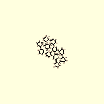 c1ccc(-c2ccccc2-c2cc(-c3cccc(-c4cc(-c5ccccc5-c5ccccc5)nc(-c5ccccc5-c5ccccc5)c4)c3)cc(-c3ccccc3-c3ccccc3)n2)cc1